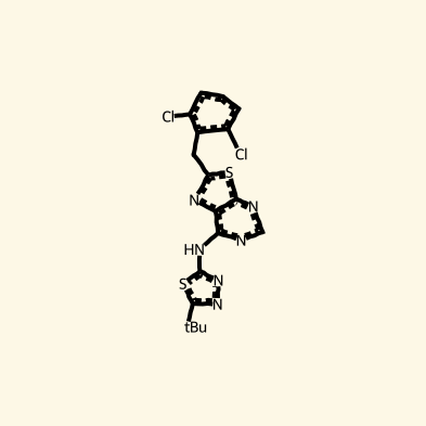 CC(C)(C)c1nnc(Nc2ncnc3sc(Cc4c(Cl)cccc4Cl)nc23)s1